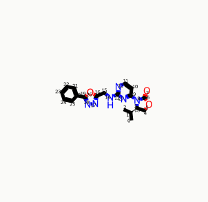 CC(C)[C@H]1COC(=O)N1c1ccnc(NCc2nnc(-c3ccccc3)o2)n1